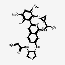 C=CC(=O)N[C@H]1COC[C@H]1Nc1cc2c(NC(C)C3CC3)nc(-c3c(F)c(OC)cc(OC)c3F)cc2cn1